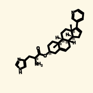 C[C@]12CC[C@H](OC(=O)[C@@H](N)Cc3c[nH]cn3)CC1=CC[C@@H]1[C@@H]2CC[C@]2(C)C(c3cccnc3)=CC[C@@H]12